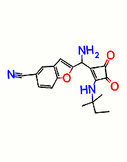 CCC(C)(C)Nc1c(C(N)c2cc3cc(C#N)ccc3o2)c(=O)c1=O